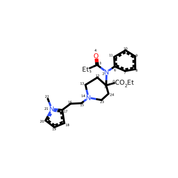 CCOC(=O)C1(N(C(=O)CC)c2ccccc2)CCN(CCc2cccn2C)CC1